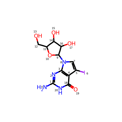 Nc1nc2c(c(I)cn2C2OC(CO)C(O)C2O)c(=O)[nH]1